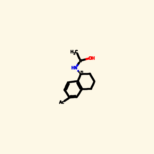 CB(O)N[C@@H]1CCCc2cc(C(C)=O)ccc21